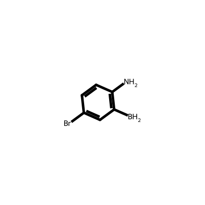 Bc1cc(Br)ccc1N